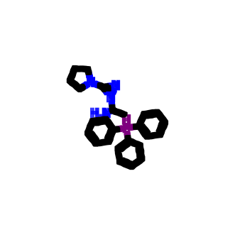 NC(C[PH](c1ccccc1)(c1ccccc1)c1ccccc1)N1N=C1N1CCCC1